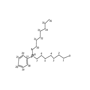 CCCCCCCCP(CCCCCCCC)c1ccccc1